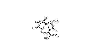 C=C[C@](C)(CCC=C(C)C)O[C@H]1O[C@H](CO)[C@@H](O)[C@H](O)[C@H]1O